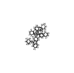 Cc1ccccc1Nc1cc2c(cc1-c1cc3ccccc3c3c1Bc1cccc4c5c(n-3c14)C=CCC5)c1ccccc1n2-c1ccccc1